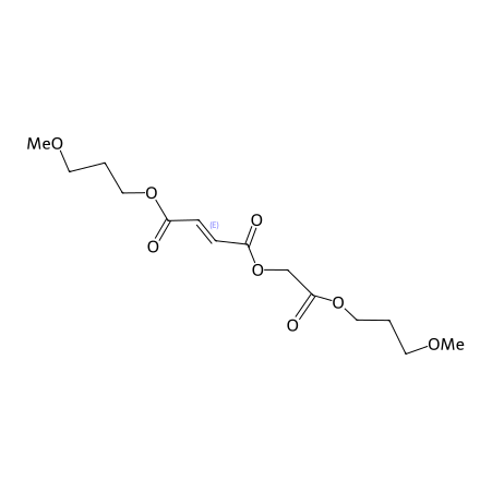 COCCCOC(=O)/C=C/C(=O)OCC(=O)OCCCOC